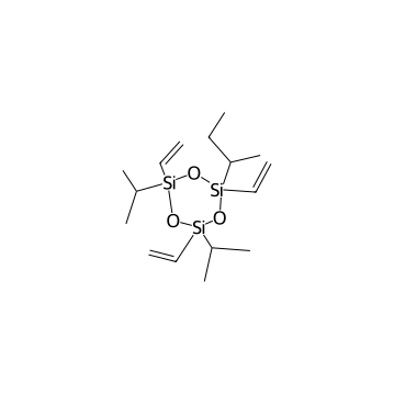 C=C[Si]1(C(C)C)O[Si](C=C)(C(C)C)O[Si](C=C)(C(C)CC)O1